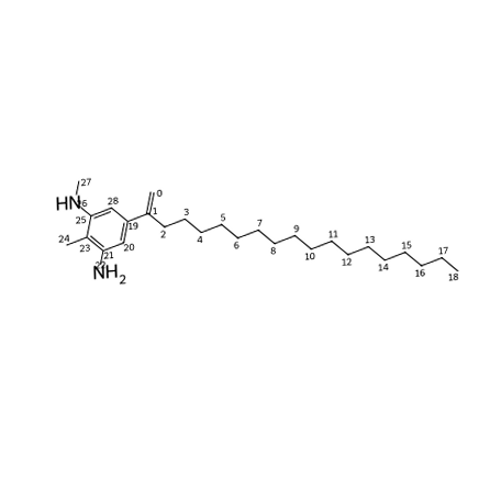 C=C(CCCCCCCCCCCCCCCCC)c1cc(N)c(C)c(NC)c1